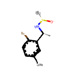 COc1ccc(Br)c([C@@H](C)N[S@@+]([O-])C(C)(C)C)c1